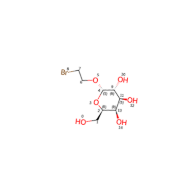 OC[C@H]1O[C@H](OCCBr)[C@H](O)[C@@H](O)[C@H]1O